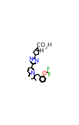 C=C1C=CC(c2cnc(C3CC4C(C(=O)O)[C@@H]4C3)nc2)=CN1C(Cc1ccccc1OC(F)F)=C(C)C